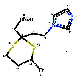 CCCCCCCCCCC1(CCn2ccnc2)SCCC(CC)S1